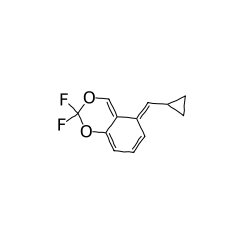 FC1(F)OC=c2c(cccc2=CC2CC2)O1